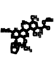 CSc1nc2c3c(nc(-c4c(C)c(NC(=O)OC(C)(C)C)cc(C)c4Br)c(F)c3n1)OC(C)C1C3CCC(CN21)N3C(=O)O